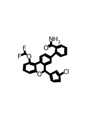 NC(=O)c1ccccc1-c1ccc2c(c1)C(c1cccc(Cl)c1)Oc1cccc(OC(F)F)c1-2